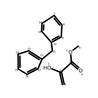 C=C(O)C(=O)OC.c1ccc(Cc2ccccc2)cc1